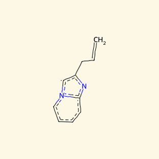 C=CCc1[c]n2ccccc2n1